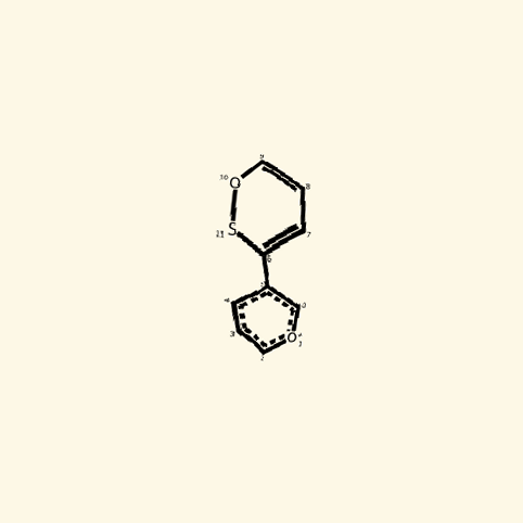 [c]1[o+]cccc1C1=CC=COS1